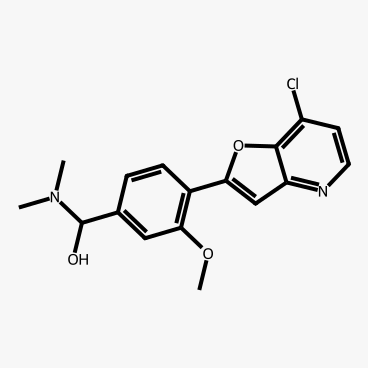 COc1cc(C(O)N(C)C)ccc1-c1cc2nccc(Cl)c2o1